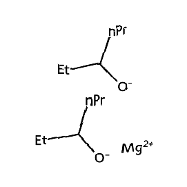 CCCC([O-])CC.CCCC([O-])CC.[Mg+2]